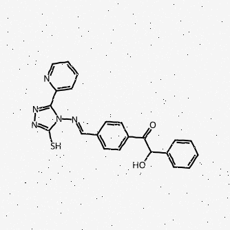 O=C(c1ccc(C=Nn2c(S)nnc2-c2ccccn2)cc1)C(O)c1ccccc1